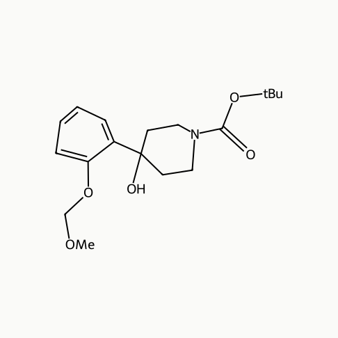 COCOc1ccccc1C1(O)CCN(C(=O)OC(C)(C)C)CC1